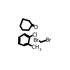 BrCBr.Cc1ccccc1Cl.O=C1CCCCC1